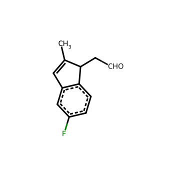 CC1=Cc2cc(F)ccc2C1CC=O